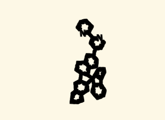 c1ccc(-c2cc(-c3ccc4c5c(ccc4c3)-c3cc4ccccc4cc3C53c4ccccc4-c4ccccc43)ccn2)nc1